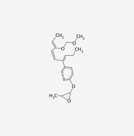 C/C=C(/C=C\C(=C\CC)c1ccc(OC2OC2C)cc1)OCOC